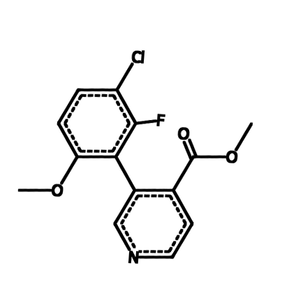 COC(=O)c1ccncc1-c1c(OC)ccc(Cl)c1F